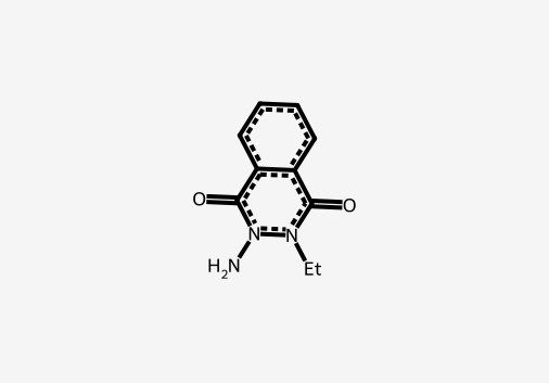 CCn1c(=O)c2ccccc2c(=O)n1N